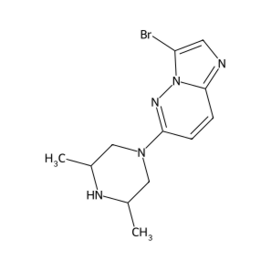 CC1CN(c2ccc3ncc(Br)n3n2)CC(C)N1